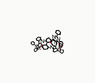 N#Cc1ccc(-n2c3ccccc3c3c2ccc2c4ccccc4n(-c4ccccc4)c23)c(-c2cc(-c3nc(-c4ccccc4)nc(-c4ccccc4)n3)ccc2-n2c3ccccc3c3c2ccc2c4ccccc4n(-c4ccccc4)c23)c1